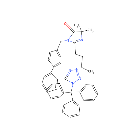 CCCCC1=NC(C)(C)C(=O)N1Cc1ccc(-c2ccccc2-c2nnnn2C(c2ccccc2)(c2ccccc2)c2ccccc2)cc1